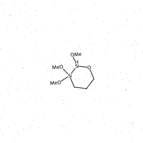 CO[SiH]1OCCC[Si]1(OC)OC